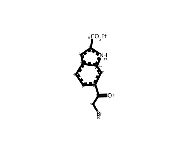 CCOC(=O)c1cc2ccc(C(=O)CBr)cc2[nH]1